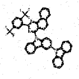 FC(F)(F)c1ccc(C(F)(F)F)c(-c2nc(-n3c4ccccc4c4cc(-n5c6ccccc6c6ccccc65)ccc43)c3ccc4ccccc4c3n2)c1